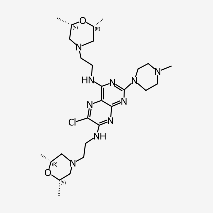 C[C@@H]1CN(CCNc2nc3nc(N4CCN(C)CC4)nc(NCCN4C[C@@H](C)O[C@@H](C)C4)c3nc2Cl)C[C@H](C)O1